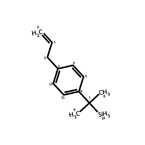 C=CCc1ccc(C(C)(C)[SiH3])cc1